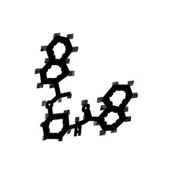 CC(Oc1cccc(NC(=O)c2cccc3ccccc23)c1)c1ccc2ccccc2c1